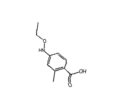 CCONc1ccc(C(=O)O)c(C)c1